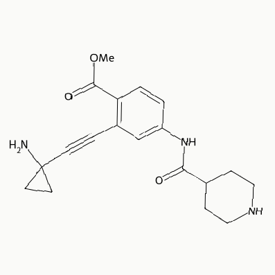 COC(=O)c1ccc(NC(=O)C2CCNCC2)cc1C#CC1(N)CC1